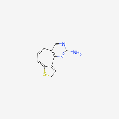 Nc1ncc2c(n1)C1=CCSC1=CC=C2